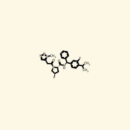 CC(C)c1ccc([C@@H](NC(=O)[C@@H]2C[C@@H](F)CN2C(=O)Cc2cnnn2C)c2ccccc2)cc1F